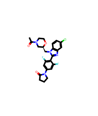 CC(=O)N1CCO[C@@H](Cn2c(-c3c(F)cc(N4CCCC4=O)cc3F)nc3cc(Cl)ccc32)C1